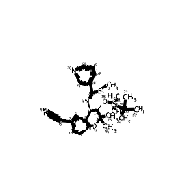 CSC(=N[C@@H]1c2cc(C#N)ccc2OC(C)(C)[C@H]1O[Si](C)(C)C(C)(C)C)c1cccnc1